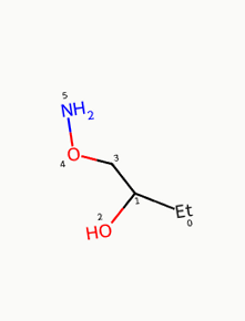 CCC(O)CON